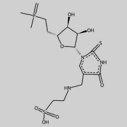 C=P(C)(C)CC[C@H]1O[C@@H](n2cc(CNCCS(=O)(=O)O)c(=O)[nH]c2=S)[C@H](O)[C@@H]1O